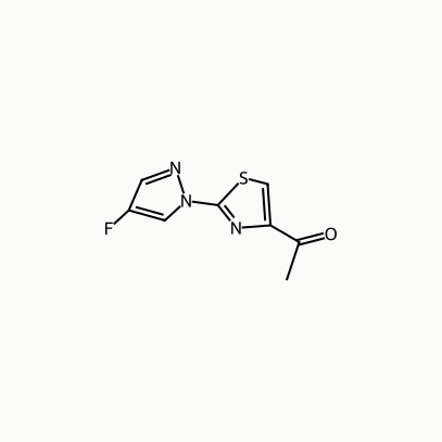 CC(=O)c1csc(-n2cc(F)cn2)n1